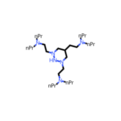 CCCN(CCC)CCC1CN(CCN(CCC)CCC)NN(CCN(CCC)CCC)C1